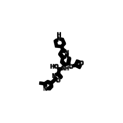 Cc1cc(-c2nc(C(O)Nc3cc4cc(C5CCNCC5)nn4cc3OC3COC3)co2)ccn1